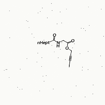 CCCCCCCC(=O)NCC(=O)OCC#CI